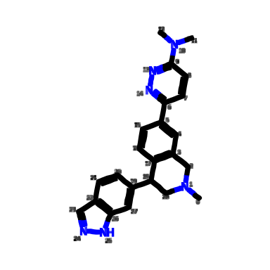 CN1Cc2cc(-c3ccc(N(C)C)nn3)ccc2C(c2ccc3cn[nH]c3c2)C1